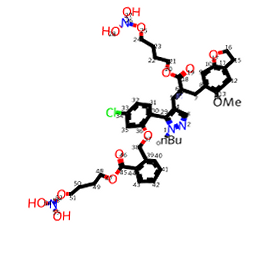 CCCCn1ncc(/C=C(\Cc2cc3c(cc2OC)CCO3)C(=O)OCCCCON(O)O)c1-c1ccc(Cl)cc1OCc1ccccc1C(=O)OCCCCON(O)O